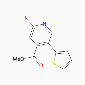 COC(=O)c1cc(I)ncc1-c1cccs1